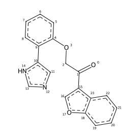 O=C(COc1ccccc1-c1cnc[nH]1)c1coc2ccccc12